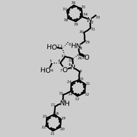 C[C@@H](O)[C@H]1[C@@H](CO)ON(Cc2cccc(CNCc3ccccc3)c2)[C@H]1C(=O)NCCCN(C)c1ccccc1